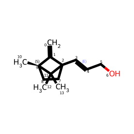 C=C1C2(/C=C/CO)CC[C@@]1(C)C2(C)C